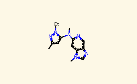 CCn1nc(C)cc1N(C)c1cc2c(cn1)ncn2C